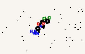 N=CC1=C(N)CCC(N(C(=O)C2CCC(C3=CCCC(Cl)C3Cl)O2)C2CC2)C1